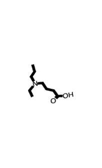 CCCN(CC)CCCC(=O)O